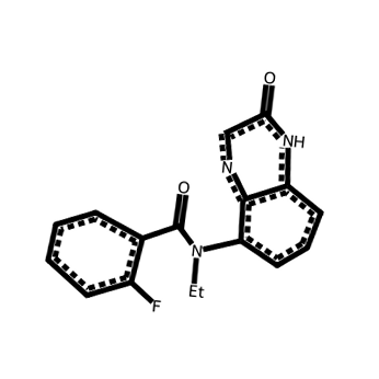 CCN(C(=O)c1ccccc1F)c1cccc2[nH]c(=O)cnc12